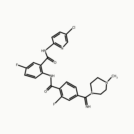 CN1CCN(C(=N)c2ccc(C(=O)Nc3ccc(F)cc3C(=O)Nc3ccc(Cl)cn3)c(F)c2)CC1